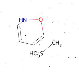 C1=CNOC=C1.CS(=O)(=O)O